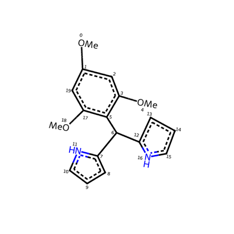 COc1cc(OC)c(C(c2ccc[nH]2)c2ccc[nH]2)c(OC)c1